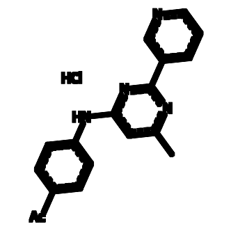 CC(=O)c1ccc(Nc2cc(C)nc(-c3cccnc3)n2)cc1.Cl